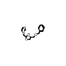 c1ccc(COCC2COC(Cn3ccnc3)O2)cc1